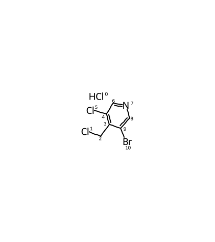 Cl.ClCc1c(Cl)cncc1Br